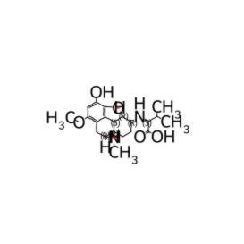 COc1cc(O)c2c3c1C[C@@H]1[C@@H]4CC[C@@H](N[C@H](C(=O)O)C(C)C)[C@H](O2)[C@]34CCN1C